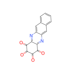 O=c1c(=O)c(=O)c2nc3cc4ccccc4cc3nc2c1=O